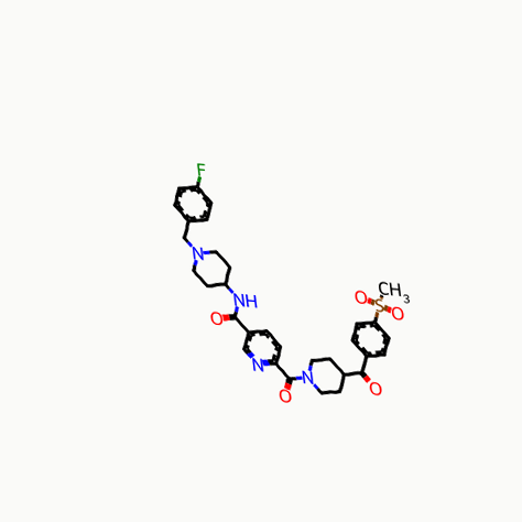 CS(=O)(=O)c1ccc(C(=O)C2CCN(C(=O)c3ccc(C(=O)NC4CCN(Cc5ccc(F)cc5)CC4)cn3)CC2)cc1